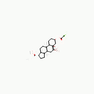 CC(=O)[C@H]1CC[C@H]2[C@@H]3CC(Br)C4(Br)CC(OC(=O)C(F)(F)F)CC[C@]4(C)[C@H]3CC[C@]12C